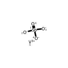 [O]=[Sb]([O-])([O-])[O-].[V+3]